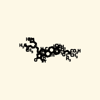 CC(C)C1=C2[C@H]3CC[C@@H]4[C@@]5(C)CC[C@H](OC(=O)CC(C)(C)C(=O)O)C(C)(C)[C@@H]5CC[C@@]4(C)[C@]3(C)CC[C@@]2(CCN(CCN(C)C)CC2CNC2)CC1=O